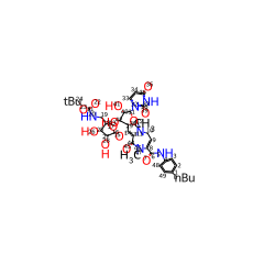 CCCCc1ccc(NC(=O)C2=CCN(C)[C@@H]([C@H](O[C@@H]3O[C@H](CNC(=O)OC(C)(C)C)[C@@H](O)[C@H]3O)[C@H]3O[C@@H](n4ccc(=O)[nH]c4=O)[C@H](O)[C@@H]3O)C(=O)N2C)cc1